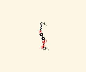 CCCCCCCOc1ccc(-c2ccc(C(=O)OCCOC(C)=O)cc2)cc1